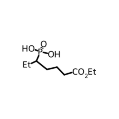 CCOC(=O)CCCC(CC)P(=O)(O)O